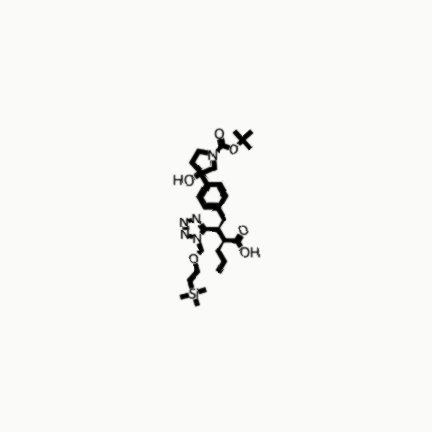 CCC[C@H](C(=O)O)[C@H](Cc1ccc(C2(O)CCN(C(=O)OC(C)(C)C)C2)cc1)c1nnnn1COCC[Si](C)(C)C